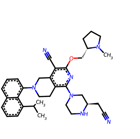 CC(C)c1cccc2cccc(N3CCc4c(N5CCN[C@H](CC#N)C5)nc(OC[C@@H]5CCCN5C)c(C#N)c4C3)c12